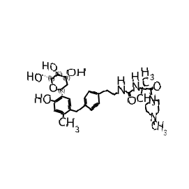 Cc1cc(O)c([C@H]2C[C@@H](O)[C@H](O)[C@@H](CO)O2)cc1Cc1ccc(CCNC(=O)NC(C)(C)C(=O)N2CCN(C)CC2)cc1